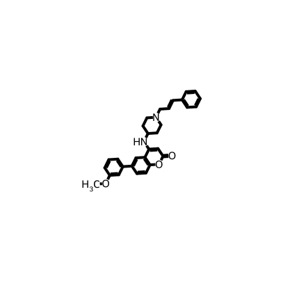 COc1cccc(-c2ccc3oc(=O)cc(NC4CCN(CC=Cc5ccccc5)CC4)c3c2)c1